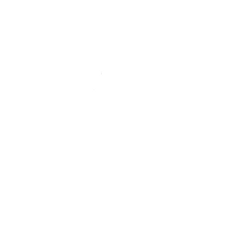 [CH2]C#C[CH2]